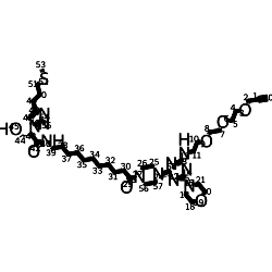 C#CCOCCOCCOCCNc1nc(N2CCOCC2)nc(N2CCN(C(=O)CCCCCCCCCCNC(=O)[C@H](CO)n3cc(CCCSC)nn3)CC2)n1